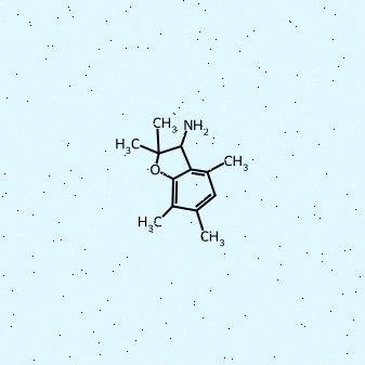 Cc1cc(C)c2c(c1C)OC(C)(C)C2N